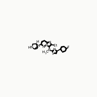 CCc1nc2ccc(N3CC4C[C@H]3CN4)nn2c1N(C)c1nc(-c2ccc(F)cc2)cs1